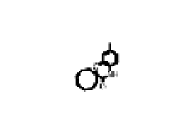 Cc1ccc2c(c1)OC1(CCCCCCC1)C(=O)N2